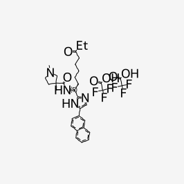 CCC(=O)CCCCC[C@H](NC(=O)C1(C)CCN(C)C1)c1ncc(-c2ccc3ccccc3c2)[nH]1.O=C(O)C(F)(F)F.O=C(O)C(F)(F)F